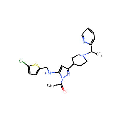 CC(C)(C)C(=O)n1nc(C2CCN(C(c3ccccn3)C(F)(F)F)CC2)cc1NCc1ccc(Cl)s1